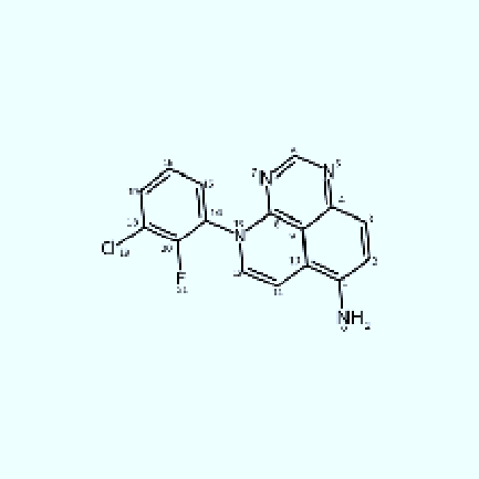 Nc1ccc2ncnc3c2c1C=CN3c1cccc(Cl)c1F